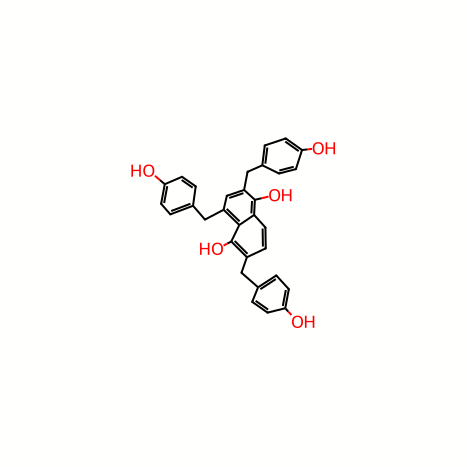 Oc1ccc(Cc2cc(Cc3ccc(O)cc3)c3c(O)c(Cc4ccc(O)cc4)ccc3c2O)cc1